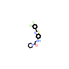 O=C(CNc1ccc2sc(-c3ccc(F)c(F)c3)nc2c1)N1CCCCC1